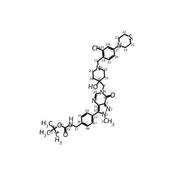 Cn1nc2c(=O)n(CC3(O)CCN(Cc4ccc(N5CCSCC5)cc4Cl)CC3)cnc2c1-c1ccc(CNC(=O)OC(C)(C)C)cc1